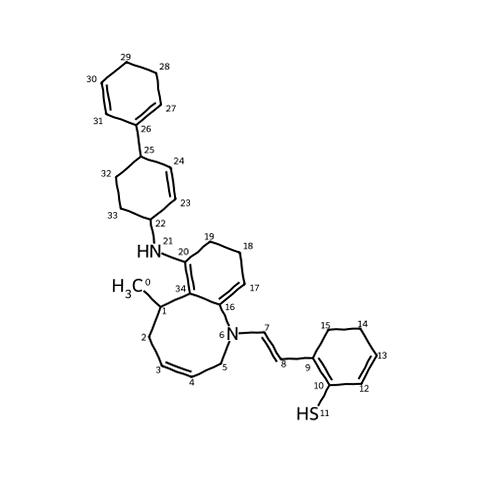 CC1C/C=C\CN(/C=C/C2=C(S)C=CCC2)C2=CCCC(NC3C=CC(C4=CCCC=C4)CC3)=C21